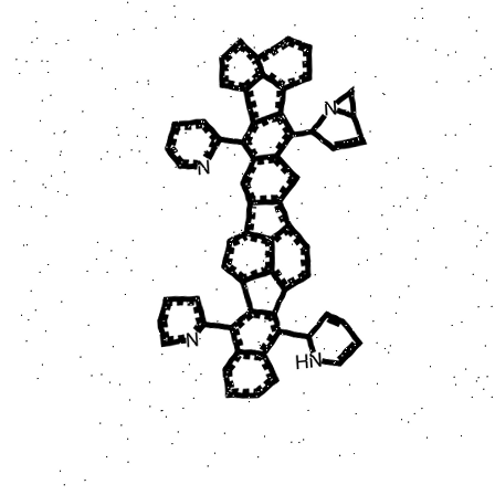 C1=CNC(c2c3c(c(-c4ccccn4)c4ccccc24)-c2ccc4c5cc6c(-c7ccccn7)c7c8cccc9cccc(c7c(C7C=CC%10CN%107)c6cc5c5ccc-3c2c45)c98)C=C1